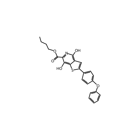 CCCCOC(=O)c1nc(O)c2cc(-c3ccc(Oc4ccccc4)cc3)sc2c1O